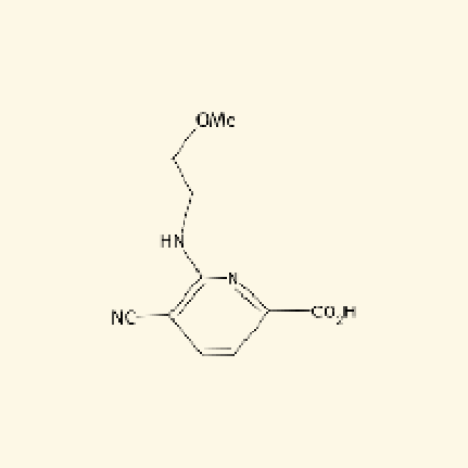 COCCNc1nc(C(=O)O)ccc1C#N